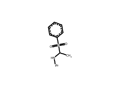 CC(C)NC(C)S(=O)(=O)c1ccccc1